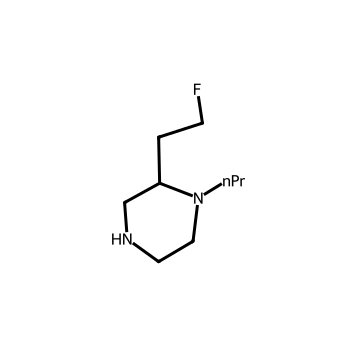 CCCN1CCNCC1CCF